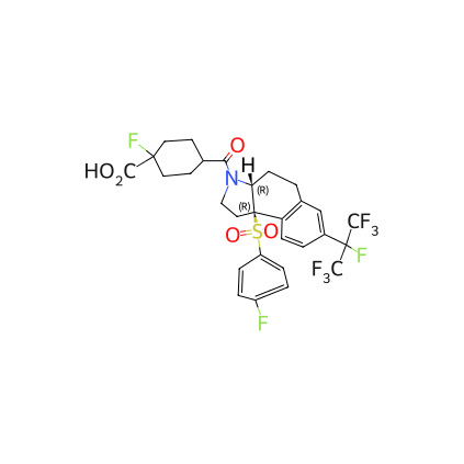 O=C(C1CCC(F)(C(=O)O)CC1)N1CC[C@@]2(S(=O)(=O)c3ccc(F)cc3)c3ccc(C(F)(C(F)(F)F)C(F)(F)F)cc3CC[C@@H]12